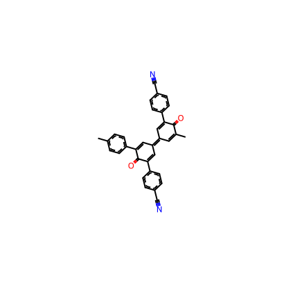 CC1=C/C(=C2/C=C(c3ccc(C)cc3)C(=O)C(c3ccc(C#N)cc3)=C2)C=C(c2ccc(C#N)cc2)C1=O